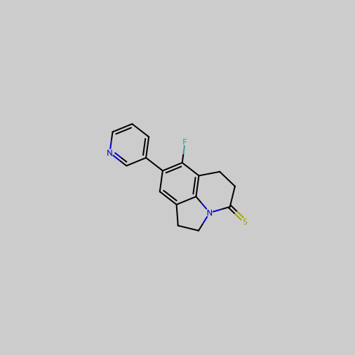 Fc1c(-c2cccnc2)cc2c3c1CCC(=S)N3CC2